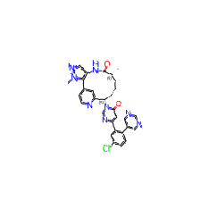 C[C@@H]1CCC[C@H](n2cnc(-c3cc(Cl)ccc3-c3cncnc3)cc2=O)c2cc(ccn2)-c2c(cnn2C)NC1=O